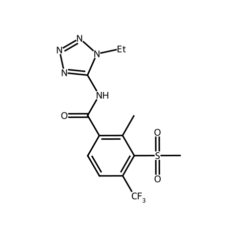 CCn1nnnc1NC(=O)c1ccc(C(F)(F)F)c(S(C)(=O)=O)c1C